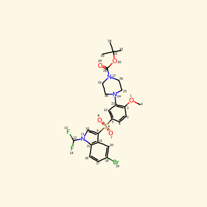 COc1ccc(S(=O)(=O)c2cn(C(F)F)c3ccc(Br)cc23)cc1N1CCN(C(=O)OC(C)(C)C)CC1